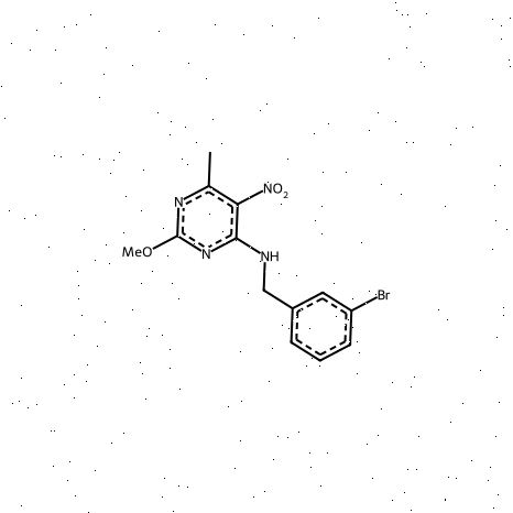 COc1nc(C)c([N+](=O)[O-])c(NCc2cccc(Br)c2)n1